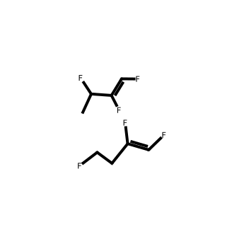 CC(F)/C(F)=C/F.F/C=C(\F)CCF